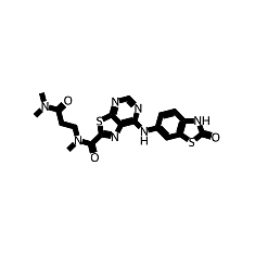 CN(C)C(=O)CCN(C)C(=O)c1nc2c(Nc3ccc4[nH]c(=O)sc4c3)ncnc2s1